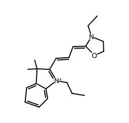 CCC[N+]1=C(/C=C/C=C2\OCCN2CC)C(C)(C)c2ccccc21